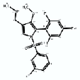 CNCc1cn(S(=O)(=O)c2cccc(F)c2)c(-c2c(F)cc(F)cc2F)c1OC